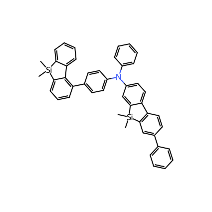 C[Si]1(C)c2cc(-c3ccccc3)ccc2-c2ccc(N(c3ccccc3)c3ccc(-c4cccc5c4-c4ccccc4[Si]5(C)C)cc3)cc21